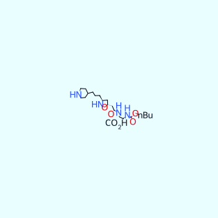 CCCCOC(=O)N[C@@H](CNC(=O)C[C@H]1C[C@H](CCCC2CCNCC2)NO1)C(=O)O